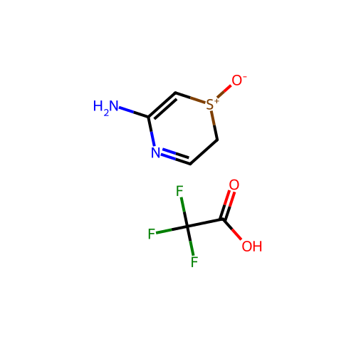 NC1=C[S+]([O-])CC=N1.O=C(O)C(F)(F)F